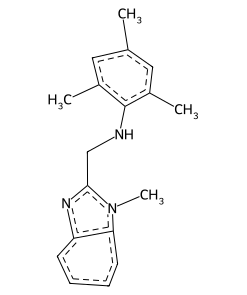 Cc1cc(C)c(NCc2nc3ccccc3n2C)c(C)c1